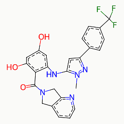 Cn1nc(-c2ccc(C(F)(F)F)cc2)cc1Nc1cc(O)cc(O)c1C(=O)N1Cc2cccnc2C1